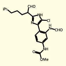 COC(=O)Nc1ccc(-c2nc(C(C=O)CCCC(C)C)[nH]c2Cl)c(NC=O)c1